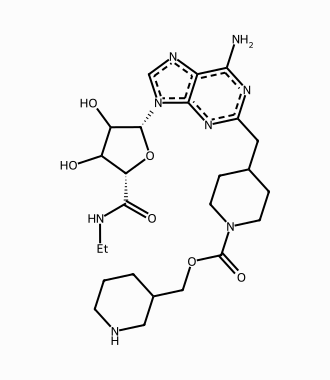 CCNC(=O)[C@H]1O[C@@H](n2cnc3c(N)nc(CC4CCN(C(=O)OCC5CCCNC5)CC4)nc32)C(O)C1O